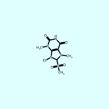 CCN1c2c(c(=O)[nH]c(=O)n2C)N(C)C1S(C)(=O)=O